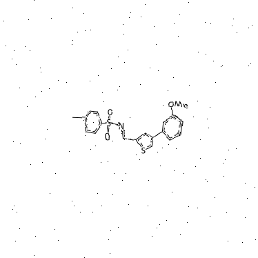 COc1cccc(-c2csc(C=NS(=O)(=O)c3ccc(C)cc3)c2)c1